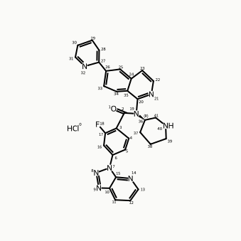 Cl.O=C(c1ccc(-n2nnc3cccnc32)cc1F)N(c1nccc2cc(-c3ccccn3)ccc12)[C@@H]1CCCNC1